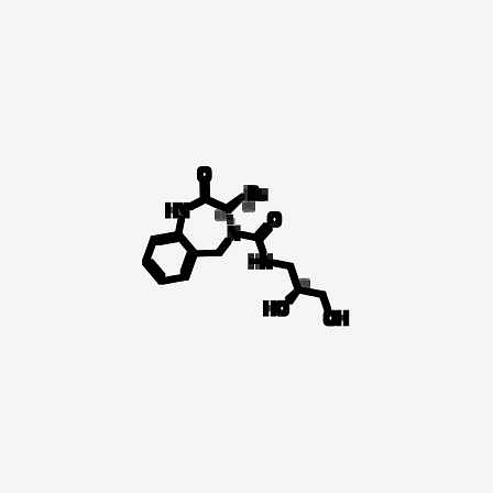 CC[C@H](C)[C@H]1C(=O)Nc2ccccc2CN1C(=O)NC[C@H](O)CO